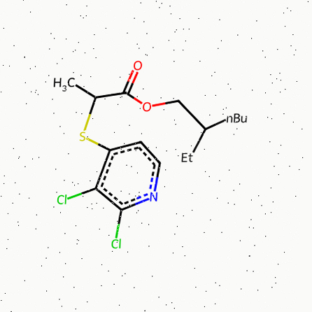 CCCCC(CC)COC(=O)C(C)Sc1ccnc(Cl)c1Cl